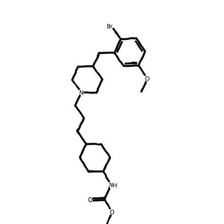 COC(=O)NC1CCC(CCCN2CCC(Cc3cc(OC)ccc3Br)CC2)CC1